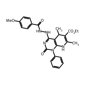 CCOC(=O)C1=C(C)Nc2c(c(NNC(=O)c3ccc(OC)cc3)nc(=O)n2-c2ccccc2)C1C